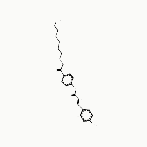 CCCCCCCCCCCCCCCCCCC(=O)c1ccc(NC(=O)C=Cc2ccc(O)cc2)cc1